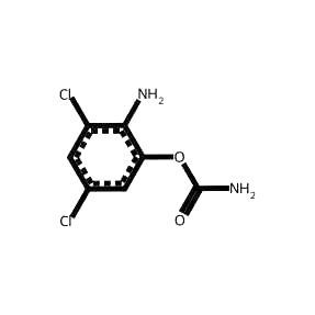 NC(=O)Oc1cc(Cl)cc(Cl)c1N